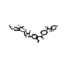 CCc1cc(NC(=O)c2ncc(-c3cn(CC#N)nc3C(F)(F)F)n2C)ccc1C(=O)N1CCN(C(=O)C2(O)CCNCC2)CC1